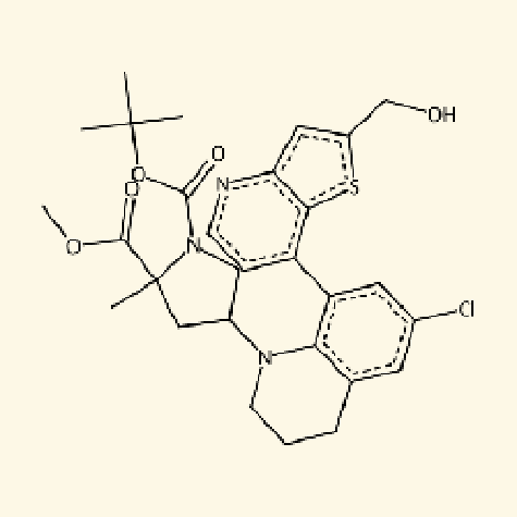 COC(=O)C1(C)CC(N2CCCc3cc(Cl)cc(-c4ccnc5cc(CO)sc45)c32)CN1C(=O)OC(C)(C)C